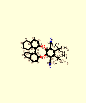 CC(C)(C)c1c(C(C)(C)C)c(C#N)c2oc3ccc4c(c3c3c5c(ccc3oc2c1C#N)CCCC5)CCCC4